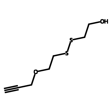 C#CCOCCSSCCO